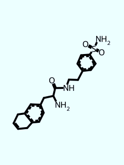 NC(Cc1ccc2c(c1)CC=CC2)C(=O)NCCc1ccc(S(N)(=O)=O)cc1